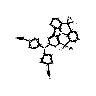 CC1(C)C2=c3c(c4cccc5c4n3-c3c1cccc3C5(C)C)=CC(N(c1ccc(C#N)cc1)c1ccc(C#N)cc1)C2